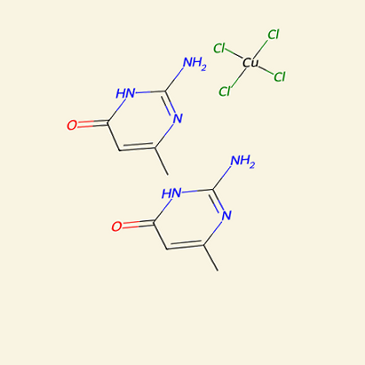 Cc1cc(=O)[nH]c(N)n1.Cc1cc(=O)[nH]c(N)n1.[Cl][Cu]([Cl])([Cl])[Cl]